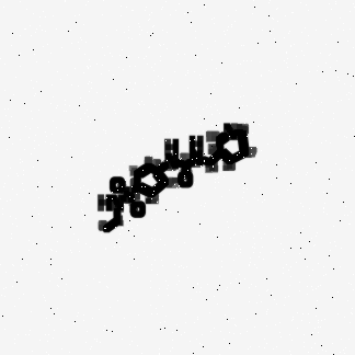 CCNS(=O)(=O)c1ccc(NC(=O)NCc2cccnc2)cc1